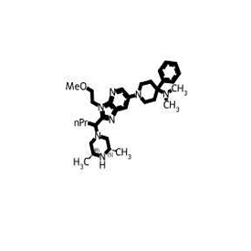 CCCC(c1nc2cc(N3CCC(c4ccccc4)(N(C)C)CC3)cnc2n1CCOC)N1C[C@@H](C)N[C@@H](C)C1